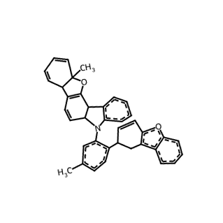 Cc1ccc(C2C=Cc3oc4ccccc4c3C2)c(N2c3ccccc3C3C4=C(C=CC32)C2C=CC=CC2(C)O4)c1